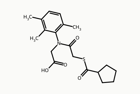 Cc1ccc(C)c(N(CC(=O)O)C(=O)CSC(=O)C2CCCC2)c1C